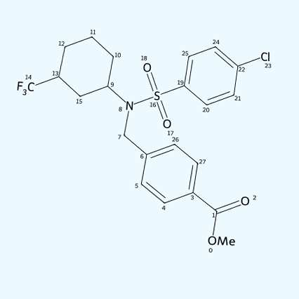 COC(=O)c1ccc(CN(C2CCCC(C(F)(F)F)C2)S(=O)(=O)c2ccc(Cl)cc2)cc1